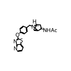 CC(=O)N[C@H]1C[C@@H]2CC1=CN2Cc1ccc(Oc2nc3ncccc3s2)cc1